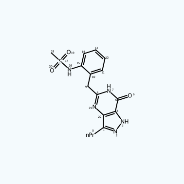 CCCc1n[nH]c2c(=O)[nH]c(Cc3ccccc3NS(C)(=O)=O)nc12